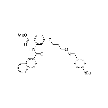 COC(=O)c1ccc(OCCCO/N=C/c2ccc(C(C)(C)C)cc2)cc1NC(=O)c1ccc2ccccc2c1